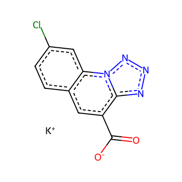 O=C([O-])c1cc2ccc(Cl)cc2n2nnnc12.[K+]